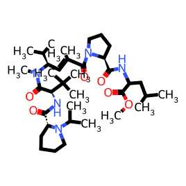 COC(=O)C(CC(C)C)NC(=O)[C@@H]1CCCN1C(=O)/C(C)=C/[C@H](C(C)C)N(C)C(=O)[C@@H](NC(=O)[C@H]1CCCCN1C(C)C)C(C)(C)C